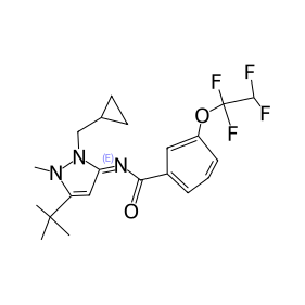 Cn1c(C(C)(C)C)c/c(=N\C(=O)c2cccc(OC(F)(F)C(F)F)c2)n1CC1CC1